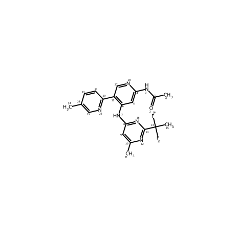 CC(=O)Nc1cc(Nc2cc(C)nc(C(C)(F)F)n2)c(-c2ccc(C)cn2)cn1